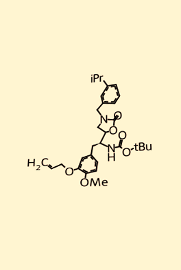 C=CCOc1cc(C[C@H](NC(=O)OC(C)(C)C)C2CN(Cc3cccc(C(C)C)c3)C(=O)O2)ccc1OC